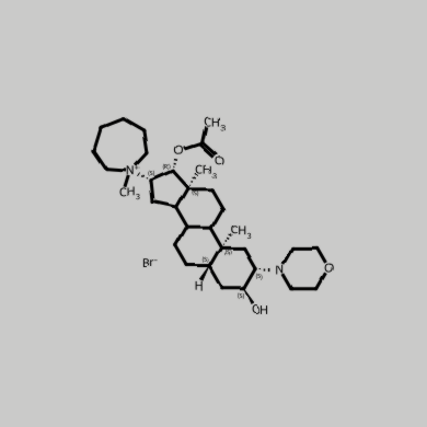 CC(=O)O[C@H]1[C@@H]([N+]2(C)CCCCCC2)CC2C3CC[C@H]4C[C@H](O)[C@@H](N5CCOCC5)C[C@]4(C)C3CC[C@@]21C.[Br-]